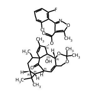 CC1=CC23C(=O)[C@@H](C=C4COC(C)(C)O[C@H]4[C@]2(O)[C@H]1OC(=O)c1c(-c2c(F)cccc2Cl)noc1C)[C@H]1[C@@H](CC3C)C1(C)C